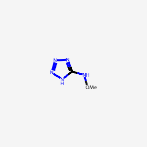 CONc1nnn[nH]1